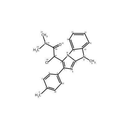 Cc1ccc(-c2nc3n(C)c4ccccc4n3c2C(Cl)C(=O)N(C)C)cc1